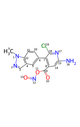 Cn1ncc2cc(-c3c(C(=O)ON=O)cc(N)nc3Cl)ccc21